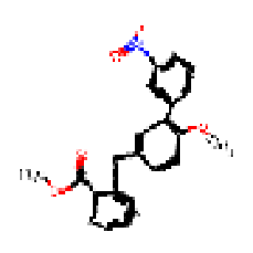 COC(=O)c1ccccc1Cc1ccc(OC)c(-c2cccc([N+](=O)[O-])c2)c1